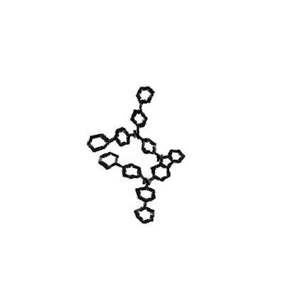 C1=CCC(c2ccc(N(c3ccc(-c4ccccc4)cc3)c3ccc4c5ccccc5n(-c5ccc(N(c6ccc(C7=CCCC=C7)cc6)c6ccc(-c7ccccc7)cc6)cc5)c4c3)cc2)C=C1